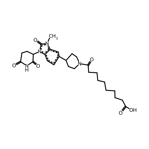 Cn1c(=O)n(C2CCC(=O)NC2=O)c2ccc(C3CCN(C(=O)CCCCCCCCC(=O)O)CC3)cc21